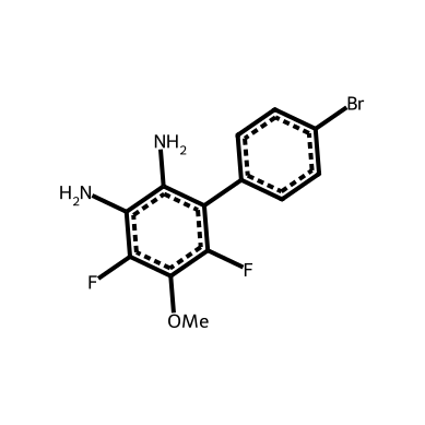 COc1c(F)c(N)c(N)c(-c2ccc(Br)cc2)c1F